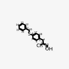 O/N=C(\Cl)Cc1ccc(SCc2ccccc2)cc1